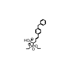 CCOP(=O)(OCC)C(C/C=C/c1ccc(Cc2ccccc2)cc1)S(=O)(=O)O